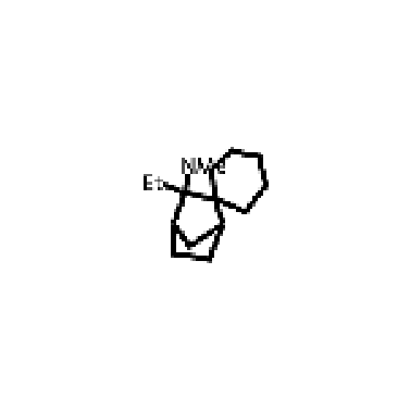 CCC1(NC)C2CCC(C2)C12CCCCC2